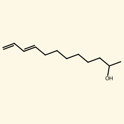 C=CC=CCCCCCCC(C)O